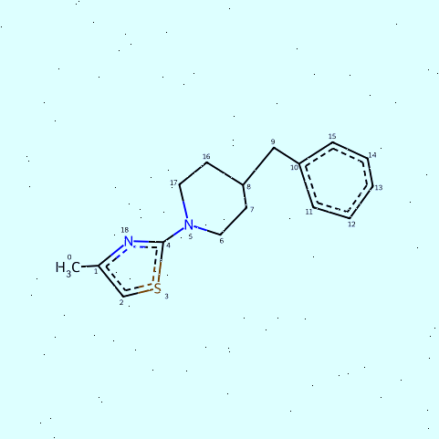 Cc1csc(N2CCC(Cc3ccccc3)CC2)n1